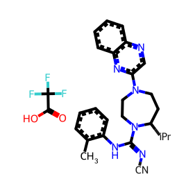 Cc1ccccc1N/C(=N\C#N)N1CCN(c2cnc3ccccc3n2)CCC1C(C)C.O=C(O)C(F)(F)F